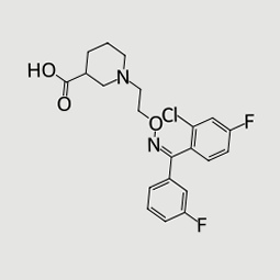 O=C(O)C1CCCN(CCON=C(c2cccc(F)c2)c2ccc(F)cc2Cl)C1